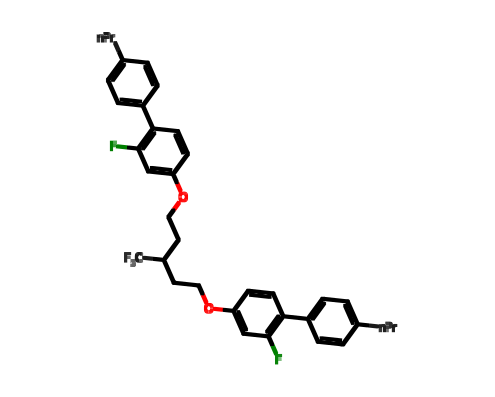 CCCc1ccc(-c2ccc(OCCC(CCOc3ccc(-c4ccc(CCC)cc4)c(F)c3)C(F)(F)F)cc2F)cc1